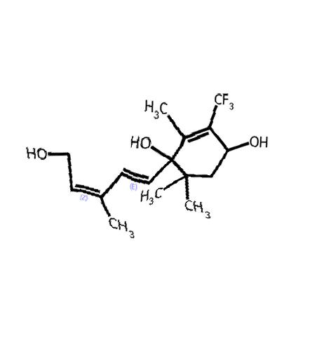 CC1=C(C(F)(F)F)C(O)CC(C)(C)C1(O)/C=C/C(C)=C\CO